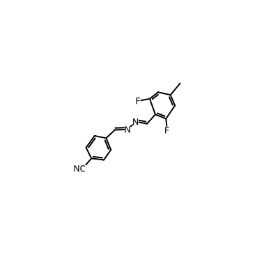 Cc1cc(F)c(/C=N/N=C/c2ccc(C#N)cc2)c(F)c1